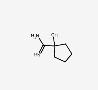 N=C(N)C1(O)CCCC1